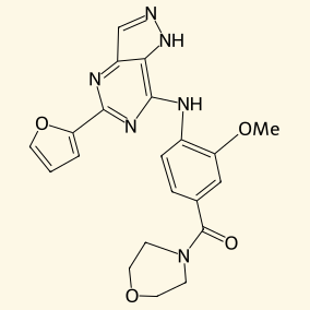 COc1cc(C(=O)N2CCOCC2)ccc1Nc1nc(-c2ccco2)nc2cn[nH]c12